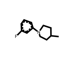 CC1CCN(c2cccc(F)c2)CC1